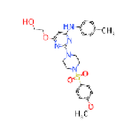 COc1ccc(S(=O)(=O)N2CCN(c3nc(Nc4ccc(C)cc4)cc(OCCO)n3)CC2)cc1